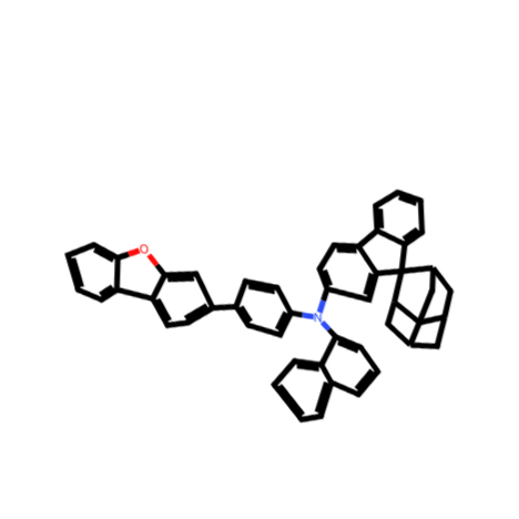 c1ccc2c(c1)-c1ccc(N(c3ccc(-c4ccc5c(c4)oc4ccccc45)cc3)c3cccc4ccccc34)cc1C21C2CC3CC(C2)CC1C3